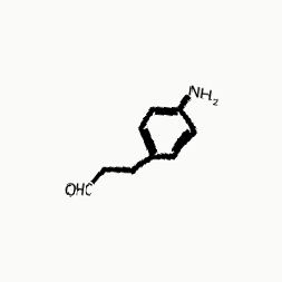 Nc1ccc(CCC=O)cc1